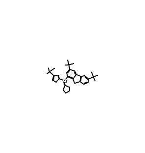 CC(C)(C)C1=CC[C]([Zr](=[C]2CCCC2)[c]2cc(C(C)(C)C)cc3c2Cc2ccc(C(C)(C)C)cc2-3)=C1